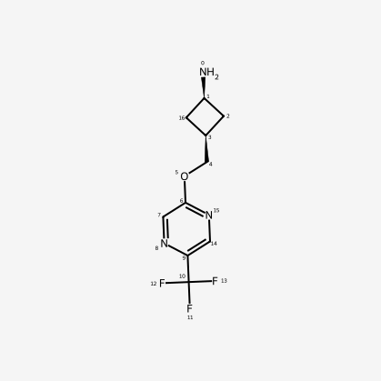 N[C@H]1C[C@@H](COc2cnc(C(F)(F)F)cn2)C1